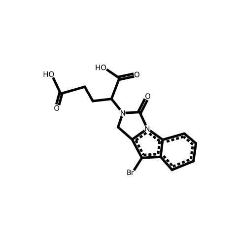 O=C(O)CCC(C(=O)O)N1Cc2c(Br)c3ccccc3n2C1=O